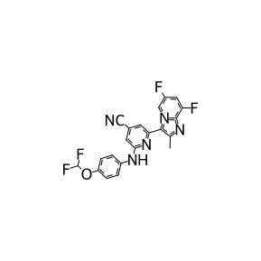 Cc1nc2c(F)cc(F)cn2c1-c1cc(C#N)cc(Nc2ccc(OC(F)F)cc2)n1